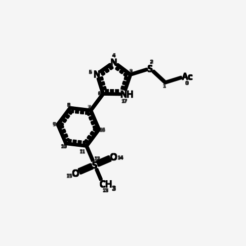 CC(=O)CSc1nnc(-c2cccc(S(C)(=O)=O)c2)[nH]1